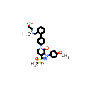 COc1ccc(-n2nc(S(C)(=O)=O)c3c2C(=O)N(c2ccc(-c4ccccc4CN(C)CCO)cc2)CC3)cc1